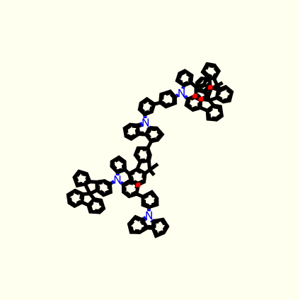 CC1(C)c2ccccc2-c2c(-c3ccccc3N(c3ccc(-c4cccc(-n5c6ccccc6c6c(-c7ccc8c(c7)C(C)(C)c7cccc(-c9ccccc9N(c9ccc(-c%10cccc(-n%11c%12ccccc%12c%12ccccc%12%11)c%10)cc9)c9ccc%10c(c9)-c9ccccc9C%109c%10ccccc%10-c%10ccccc%109)c7-8)cccc65)c4)cc3)c3ccc4c(c3)C3(c5ccccc5-c5ccccc53)c3ccccc3-4)cccc21